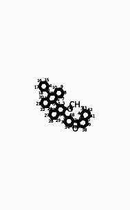 COc1cc(-c2c3ccccc3c(-c3ccccc3)c3ccccc23)c2ccccc2c1-c1ccc2oc3ccc4ccccc4c3c2c1